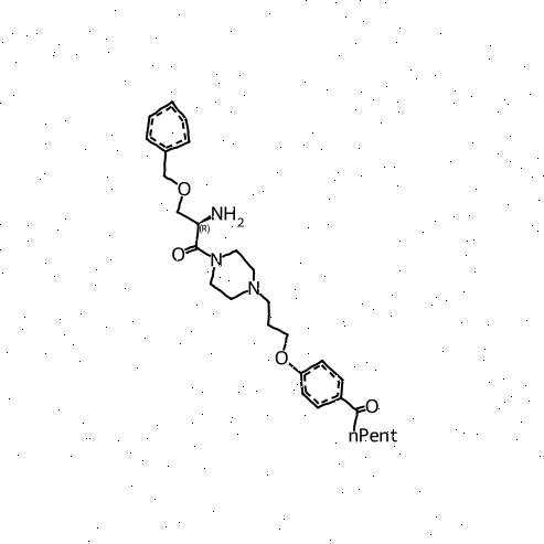 CCCCCC(=O)c1ccc(OCCCN2CCN(C(=O)[C@H](N)COCc3ccccc3)CC2)cc1